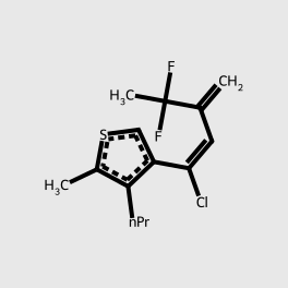 C=C(/C=C(/Cl)c1csc(C)c1CCC)C(C)(F)F